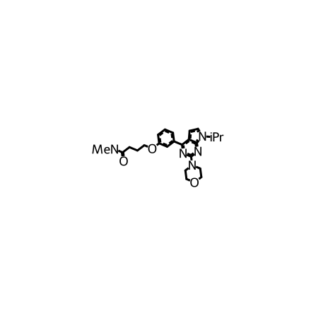 CNC(=O)CCCOc1cccc(-c2nc(N3CCOCC3)nc3c2ccn3C(C)C)c1